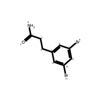 NC(=O)CCc1cc(Br)cc(Br)c1